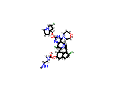 C#Cc1c(F)ccc2cc(OC(=O)N(C)CCNC)cc(-c3ncc4c(N5CCCOCC5)nc(OC[C@@]56CCCN5C[C@H](F)C6)nc4c3F)c12